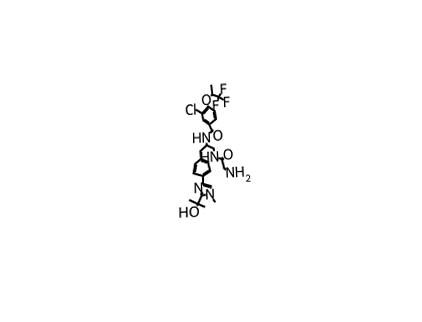 CC(Oc1ccc(C(=O)NC(CNC(=O)CN)Cc2ccc(-c3cn(C)c(C(C)(C)O)n3)cc2)cc1Cl)C(F)(F)F